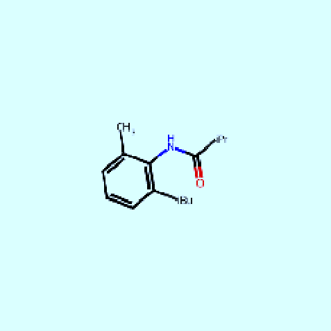 CCC(C)c1cccc(C)c1NC(=O)C(C)C